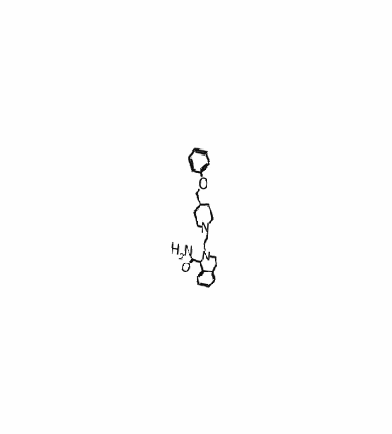 NC(=O)C1c2ccccc2CCN1CCN1CCC(COc2ccccc2)CC1